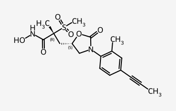 CC#Cc1ccc(N2C[C@H](C[C@](C)(C(=O)NO)S(C)(=O)=O)OC2=O)c(C)c1